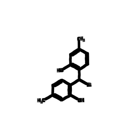 CCC(c1ccc(C)cc1O)c1ccc(C)cc1O